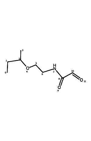 CCC(C)OCCNC(=O)C=O